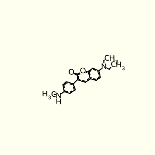 CCN(CC)c1ccc2cc(-c3ccc(NC)cc3)c(=O)oc2c1